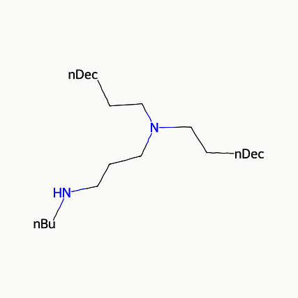 CCCCCCCCCCCCN(CCCCCCCCCCCC)CCCNCCCC